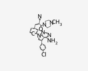 CN1CCN(C(=O)C(C#N)=Cc2cccc(-n3cc(-c4ccc(Cl)cc4)c4c(N)ncnc43)c2)CC1